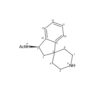 CC(=O)N[C@@H]1CC2(CCNCC2)c2ccccc21